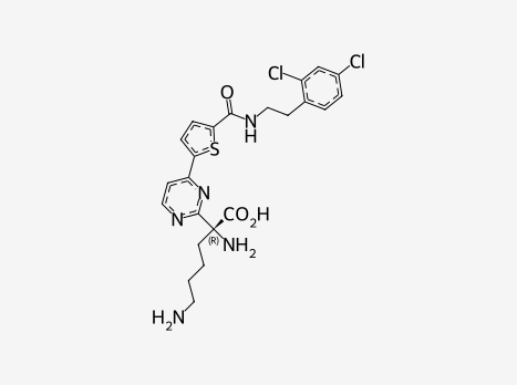 NCCCC[C@](N)(C(=O)O)c1nccc(-c2ccc(C(=O)NCCc3ccc(Cl)cc3Cl)s2)n1